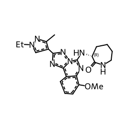 CCn1cc(-c2nc3c4cccc(OC)c4nc(N[C@@H]4CCCCNC4=O)n3n2)c(C)n1